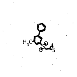 Cc1cc(-c2ccccc2)cc(S(=O)(=O)CC2CS2)c1